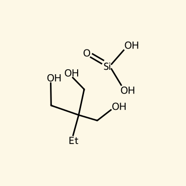 CCC(CO)(CO)CO.O=[Si](O)O